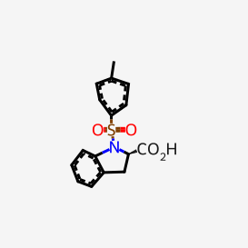 Cc1ccc(S(=O)(=O)N2c3ccccc3C[C@@H]2C(=O)O)cc1